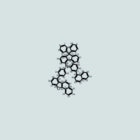 c1ccc(C2(c3ccccc3)c3ccccc3-c3c(N(c4ccc(-c5cccc6oc7c8ccccc8ccc7c56)cc4)c4cccc(-c5cccc6ccccc56)c4)cccc32)cc1